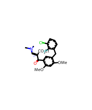 CCOC(=O)/C(=C\N(C)C)C(=O)c1cc(Cc2cccc(Cl)c2F)c(OC)cc1OC